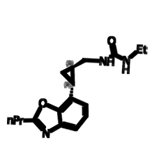 CCCc1nc2cccc([C@@H]3C[C@H]3CNC(=O)NCC)c2o1